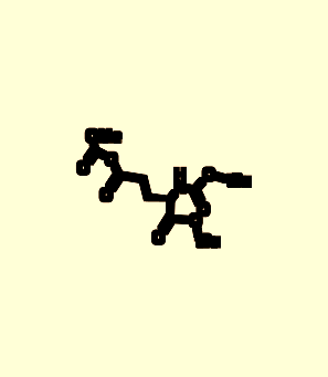 COC(=O)OC(=O)CC[C@@H](NC(=O)OC(C)(C)C)C(=O)OC(C)(C)C